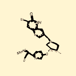 CCc1cc2ncc(CN3C[C@H](C)[C@H](Oc4ccc(C(=O)NC)nc4)C3)cc2[nH]c1=O